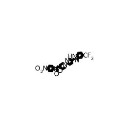 O=C1OC2(CCN(c3ccc(-c4nc5cc(C(F)(F)F)ccc5[nH]4)cn3)CC2)CN1c1ccc([N+](=O)[O-])cc1